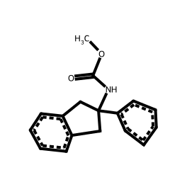 COC(=O)NC1(c2ccccc2)Cc2ccccc2C1